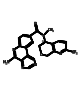 CN(C(=O)c1ccc2nc(N)c3ncncc3c2c1)[C@@H]1COCc2nc(C(F)(F)F)ccc21